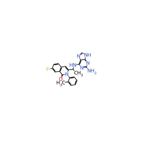 Cc1ccccc1-n1c(C(C)Nc2nc(N)nc3[nH]cnc23)cc2ccc(F)cc2c1=O